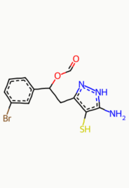 Nc1[nH]nc(CC(OC=O)c2cccc(Br)c2)c1S